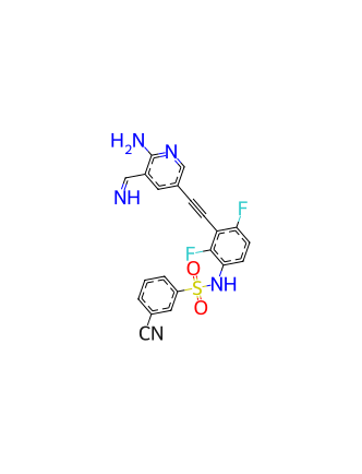 N#Cc1cccc(S(=O)(=O)Nc2ccc(F)c(C#Cc3cnc(N)c(C=N)c3)c2F)c1